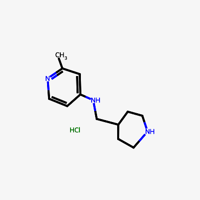 Cc1cc(NCC2CCNCC2)ccn1.Cl